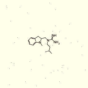 CC(C)CCN(CC1Cc2ccccc2N1C)C(=N)N